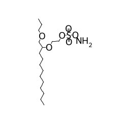 CCCCCCCCCCC(COCCC)OCCOS(=O)(=O)ON